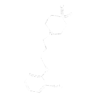 Nc1cccnc1OCCCN1CCS(=O)(=O)CC1